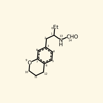 CCC(Cc1ccc2c(c1)OCCC2)NC=O